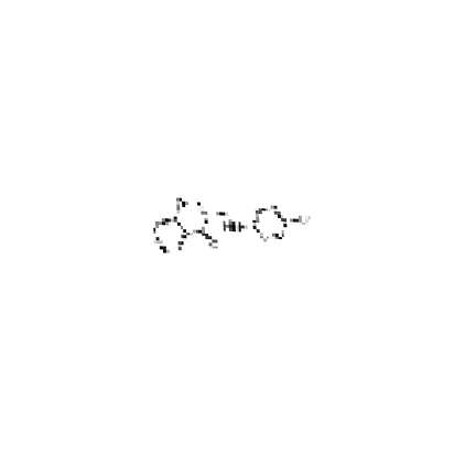 O=c1c(CNc2ccc(Br)cc2)coc2ccccc12